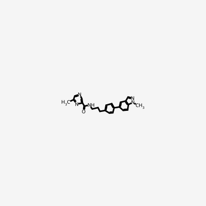 Cc1cncc(C(=O)NCCCc2ccc(-c3ccc4c(cnn4C)c3)cc2)n1